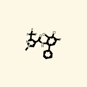 Cn1cc(C(=O)Nc2c(-c3ccccc3)cc(F)c(Cl)c2Cl)c(C(F)(F)F)n1